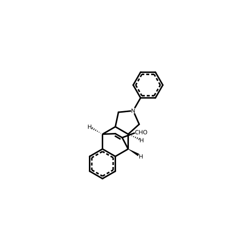 O=CC1=C[C@H]2c3ccccc3[C@H]1[C@@H]1CN(c3ccccc3)CC12